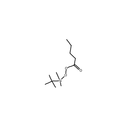 CCCCC(=O)OO[Si](C)(C)C(C)(C)C